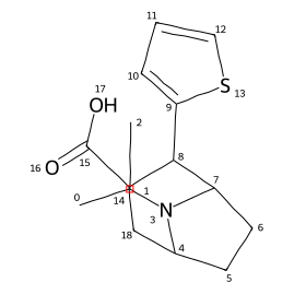 CC(C)N1C2CCC1C(c1cccs1)C(C(=O)O)C2